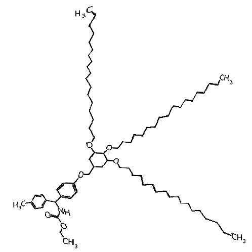 CCCCCCCCCCCCCCCCCCOC1CC(COc2ccc(C(NC(=O)OCC)c3ccc(C)cc3)cc2)CC(OCCCCCCCCCCCCCCCCCC)C1OCCCCCCCCCCCCCCCCCC